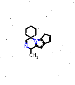 CC1N=CC2(CCCCC2)n2c1cc1c2CC=C1